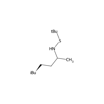 CC[C@H](C)CCC(C)NSC(C)(C)C